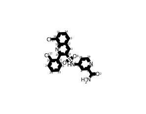 NC(=O)c1cc(NS(=O)(=O)c2cc3cccc(Cl)c3nc2-c2ccccc2Cl)ccn1